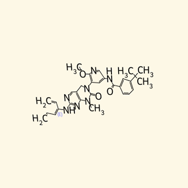 C=C/C=C(\C=C)Nc1ncc2c(n1)N(C)C(=O)N(c1cc(NC(=O)c3cccc(C(C)(C)C)c3)cnc1OC)C2